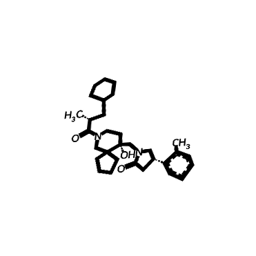 Cc1ccccc1[C@@H]1CC(=O)N(C[C@]2(O)CCN(C(=O)[C@H](C)CC3CCCCC3)CC23CCCC3)C1